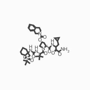 CC(C)(C)[C@H](NC(=O)NC1(CS(=O)(=O)C(C)(C)C)CCCCC1)C(=O)N1CC(OC(=O)N2CCc3ccccc3C2)C[C@H]1C(=O)NC(CC1CC1)C(=O)C(N)=O